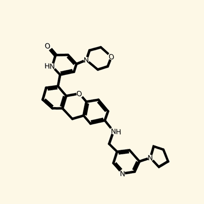 O=c1cc(N2CCOCC2)cc(-c2cccc3c2Oc2ccc(NCc4cncc(N5CCCC5)c4)cc2C3)[nH]1